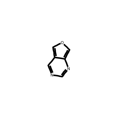 [c]1ncc2cocc2n1